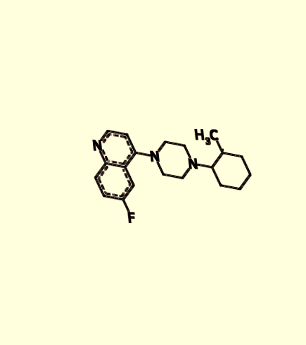 C[C]1CCCCC1N1CCN(c2ccnc3ccc(F)cc23)CC1